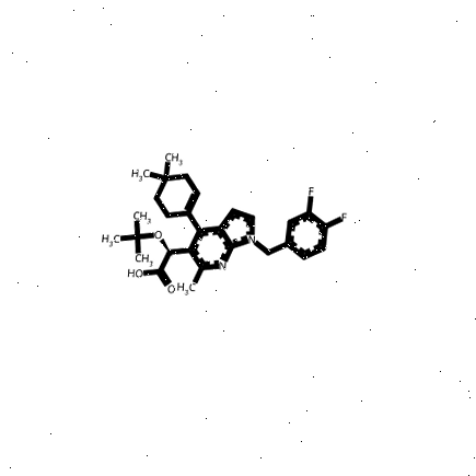 Cc1nc2c(ccn2Cc2ccc(F)c(F)c2)c(C2=CCC(C)(C)CC2)c1[C@H](OC(C)(C)C)C(=O)O